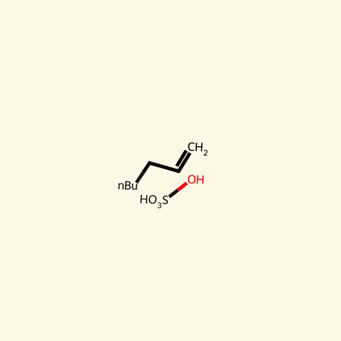 C=CCCCCC.O=S(=O)(O)O